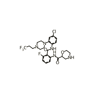 O=C(Nc1ccc(Cl)cc1N1CCN(CCC(F)(F)F)CC1)c1c(F)cccc1NC(=O)C1CNCCO1